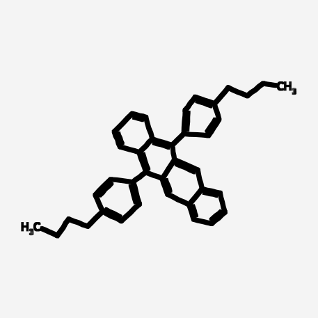 CCCCc1ccc(-c2c3ccccc3c(-c3ccc(CCCC)cc3)c3cc4ccccc4cc23)cc1